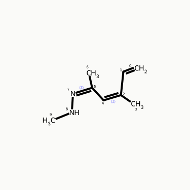 C=C/C(C)=C\C(C)=N/NC